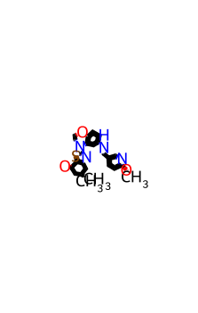 COc1ccc(CNc2ccc3c(c2)N(c2nc4c(s2)C(=O)CC(C)(C)C4)CCO3)cn1